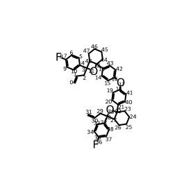 C=CCC1(c2ccc(F)cc2)OC2(c3ccc(Oc4ccc(C56CCCCC5C(CC=C)(c5ccc(F)cc5)O6)cc4)cc3)CCCCC12